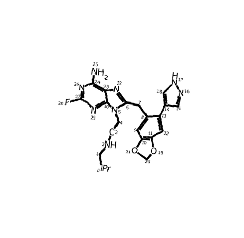 CC(C)CNCCn1c(Cc2cc3c(cc2-c2cn[nH]c2)OCO3)nc2c(N)nc(F)nc21